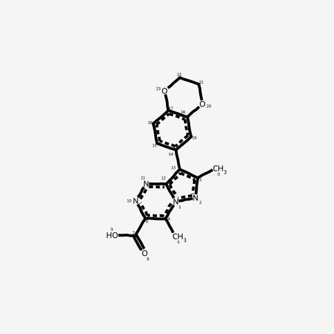 Cc1nn2c(C)c(C(=O)O)nnc2c1-c1ccc2c(c1)OCCO2